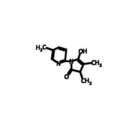 CC1=C(O)N(c2ccc(C)cn2)C(=O)C1C